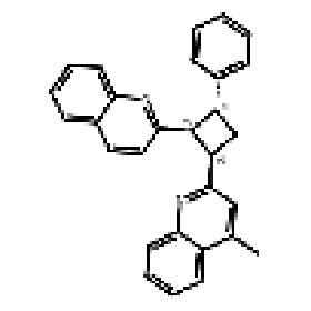 Cc1cc([C@@H]2C[C@@H](c3ccccc3)[C@@H]2c2ccc3ccccc3n2)nc2ccccc12